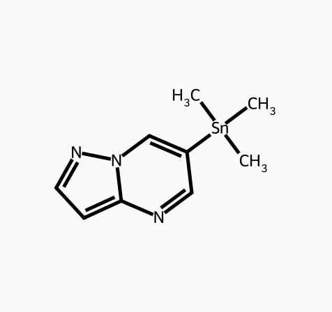 [CH3][Sn]([CH3])([CH3])[c]1cnc2ccnn2c1